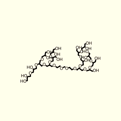 OCC(O)COCC(O)COC(COCC(O)CO)COCC(COCCOCOCCOCC(COCC(CO)OCC(CO)OCC(O)CO)OCC(O)COCC(CO)OCC(O)CO)OCC(CO)OCC(O)CO